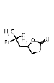 CCC(C)(C)CC1CCC(=O)O1